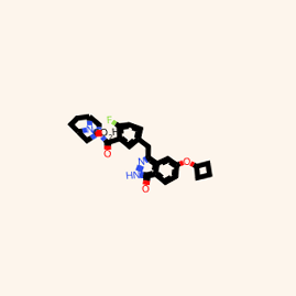 O=C(c1cc(Cc2n[nH]c(=O)c3ccc(OC4CCC4)cc23)ccc1F)N1CC2CCC(C1)N2C(=O)O